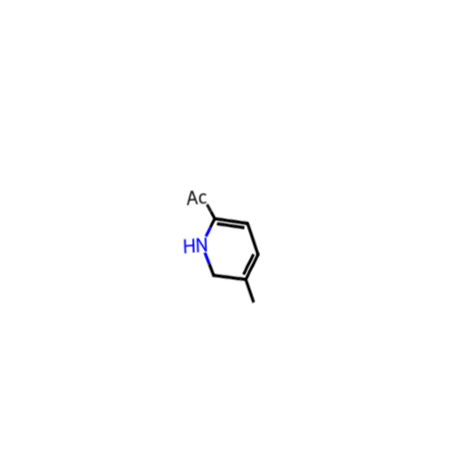 CC(=O)C1=CC=C(C)CN1